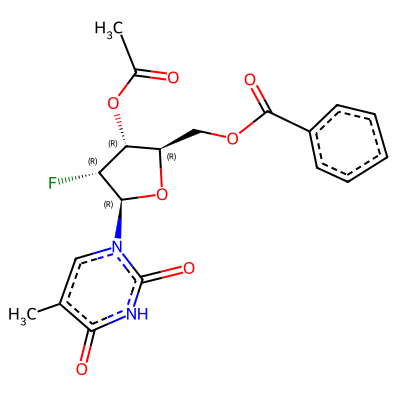 CC(=O)O[C@H]1[C@@H](F)[C@H](n2cc(C)c(=O)[nH]c2=O)O[C@@H]1COC(=O)c1ccccc1